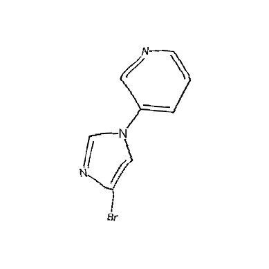 Brc1cn(-c2cccnc2)cn1